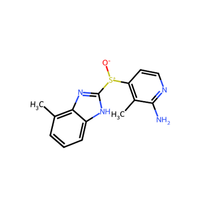 Cc1c([S+]([O-])c2nc3c(C)cccc3[nH]2)ccnc1N